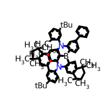 Cc1cc2c3c(c1)N(c1ccc(C(C)(C)C)cc1-c1ccc4c(c1)C(C)(C)CC4(C)C)c1cc4c(cc1B3c1ccc(-c3ccccc3)cc1N2c1cc(C(C)(C)C)ccc1C)C(C)(C)CCC4(C)C